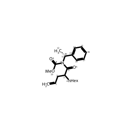 C=CCC(CCCCCC)C(=O)N(C(=O)OC)[C@H](C)c1ccccc1